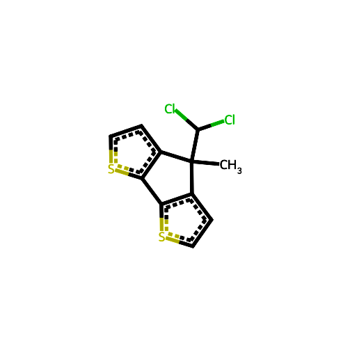 CC1(C(Cl)Cl)c2ccsc2-c2sccc21